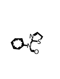 O=CN(c1ccccc1)C1N=CCS1